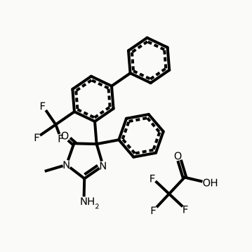 CN1C(=O)C(c2ccccc2)(c2cc(-c3ccccc3)ccc2C(F)(F)F)N=C1N.O=C(O)C(F)(F)F